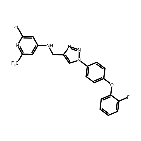 Fc1ccccc1Oc1ccc(-n2cc(CNc3cc(Cl)nc(C(F)(F)F)c3)nn2)cc1